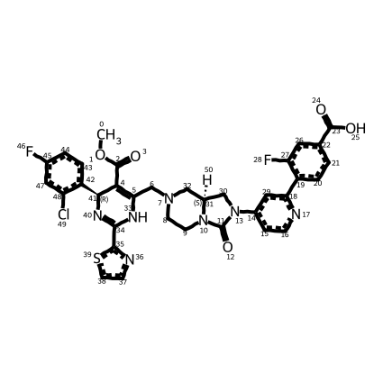 COC(=O)C1=C(CN2CCN3C(=O)N(c4ccnc(-c5ccc(C(=O)O)cc5F)c4)C[C@@H]3C2)NC(c2nccs2)=N[C@H]1c1ccc(F)cc1Cl